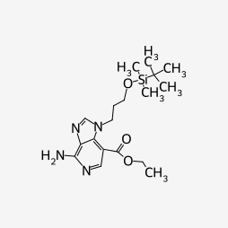 CCOC(=O)c1cnc(N)c2ncn(CCCO[Si](C)(C)C(C)(C)C)c12